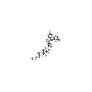 CCOC(=O)CNC(=S)N1CCC(c2nc(C(=O)Nc3ccc(F)cc3-c3ccc(Cl)cc3)cs2)CC1